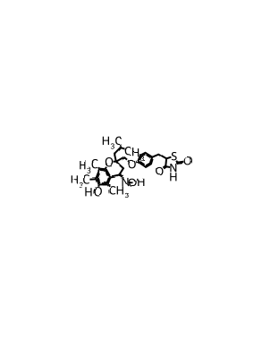 Cc1c(C)c2c(c(C)c1O)/C(=N/O)CC(COc1ccc(CC3SC(=O)NC3=O)cc1)(CC(C)C)O2